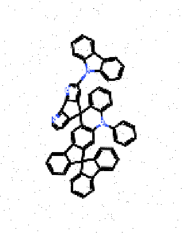 c1ccc(N2c3ccccc3C3(c4cc5c(cc42)C2(c4ccccc4-c4ccccc42)c2ccccc2-5)c2cccnc2-c2ncc(-n4c5ccccc5c5ccccc54)cc23)cc1